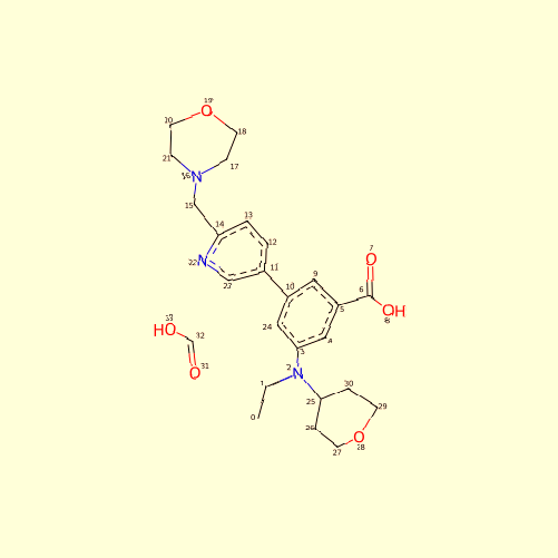 CCN(c1cc(C(=O)O)cc(-c2ccc(CN3CCOCC3)nc2)c1)C1CCOCC1.O=CO